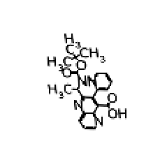 CC(NC(=O)OC(C)(C)C)c1nc2cccnc2c(C(=O)O)c1-c1ccccn1